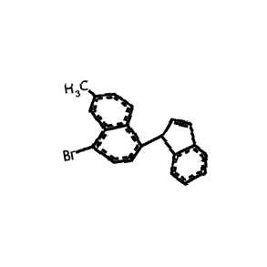 Cc1ccc2c(C3C=Cc4ccccc43)ccc(Br)c2c1